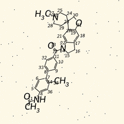 CC(=O)Nc1ccc(-c2ccc(C(=O)N3CCc4cc5c(cc43)C3(CCN(C)CC3)CO5)cc2)c(C)c1